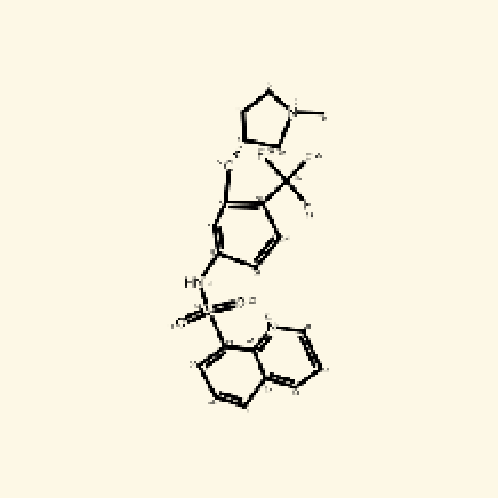 CN1CC[C@@H](Oc2cc(NS(=O)(=O)c3cccc4cccnc34)ccc2C(F)(F)F)C1